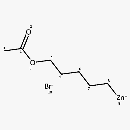 CC(=O)OCCCC[CH2][Zn+].[Br-]